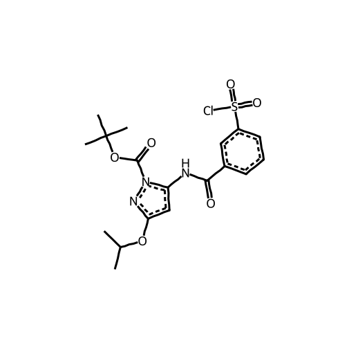 CC(C)Oc1cc(NC(=O)c2cccc(S(=O)(=O)Cl)c2)n(C(=O)OC(C)(C)C)n1